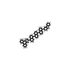 c1ccc2c(c1)sc1ccc(-c3cccc4c(-c5cccc6c(-c7cccc8c(-c9cnc%10c%11ccccc%11c%11ccccc%11c%10n9)cccc78)cccc56)cccc34)cc12